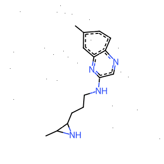 Cc1ccc2ncc(NCCCC3NC3C)nc2c1